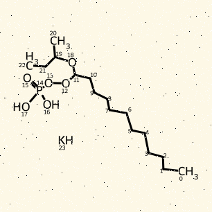 CCCCCCCCCCCC(OOP(=O)(O)O)OC(C)CC.[KH]